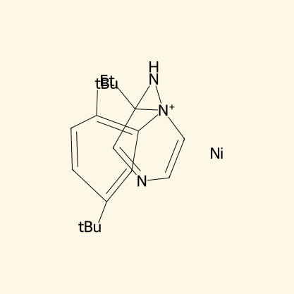 CCC12C=NC=C[N+]1(c1cc(C(C)(C)C)ccc1C(C)(C)C)N2.[Ni]